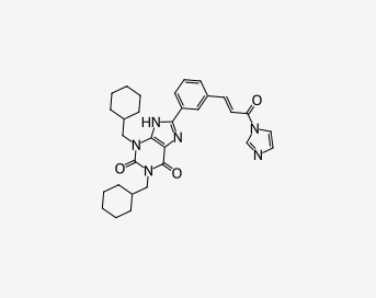 O=C(C=Cc1cccc(-c2nc3c(=O)n(CC4CCCCC4)c(=O)n(CC4CCCCC4)c3[nH]2)c1)n1ccnc1